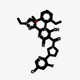 CCc1cccc(CC)c1-n1c(-c2ccn(CC)n2)nc(=O)c(C(=O)N2CCC(c3ncc(Cl)cc3F)C2)c1O